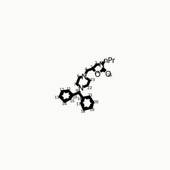 CCCN1CC(CN2CCN(C(c3ccccc3)c3ccccc3)CC2)OC1=O